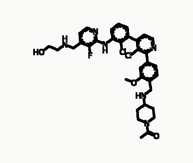 COc1cc(-c2nccc(-c3cccc(Nc4nccc(CNCCO)c4F)c3Cl)c2Cl)ccc1CNC1CCN(C(C)=O)CC1